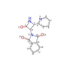 O=C1NC(c2ccccn2)C1N1C(=O)c2ccccc2C1=O